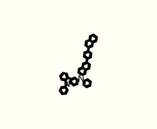 c1ccc(N(c2ccc3cc(-c4ccc(-c5ccc6ccccc6c5)cc4)ccc3c2)c2ccc3c(c2)c2ccccc2n3-c2ccccc2)cc1